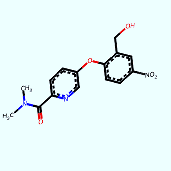 CN(C)C(=O)c1ccc(Oc2ccc([N+](=O)[O-])cc2CO)cn1